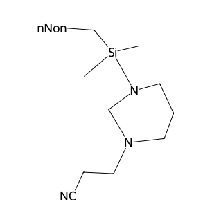 CCCCCCCCCC[Si](C)(C)N1CCCN(CCC#N)C1